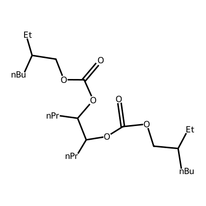 CCCCC(CC)COC(=O)OC(CCC)C(CCC)OC(=O)OCC(CC)CCCC